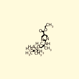 CCOC(=O)c1cnc(NC(C)(C)CO[Si](C)(C)C(C)(C)C)nc1